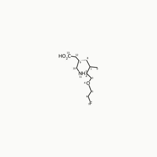 CC(CCOCCF)C[C@H](CN)CC(=O)O